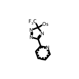 FC(F)(F)[C]1([Os])N=NC(c2ccccn2)=N1